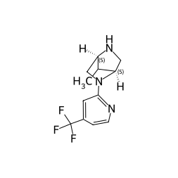 CC1[C@H]2CN[C@@H]1CN2c1cc(C(F)(F)F)ccn1